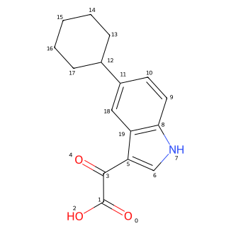 O=C(O)C(=O)c1c[nH]c2ccc(C3CCCCC3)cc12